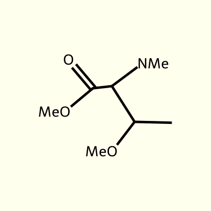 CNC(C(=O)OC)C(C)OC